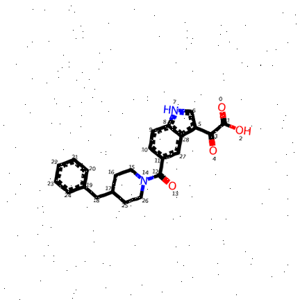 O=C(O)C(=O)c1c[nH]c2ccc(C(=O)N3CCC(Cc4ccccc4)CC3)cc12